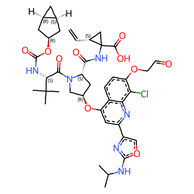 C=C[C@@H]1CC1(NC(=O)[C@@H]1C[C@@H](Oc2cc(-c3coc(NC(C)C)n3)nc3c(Cl)c(OCC=O)ccc23)CN1C(=O)[C@@H](NC(=O)O[C@@H]1C[C@@H]2C[C@@H]2C1)C(C)(C)C)C(=O)O